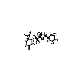 CC1CCC(C(C)C)[C@H](OC(=O)C(O)CCc2ccccc2)C1